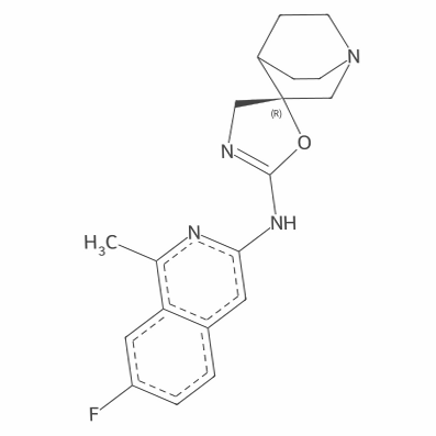 Cc1nc(NC2=NC[C@@]3(CN4CCC3CC4)O2)cc2ccc(F)cc12